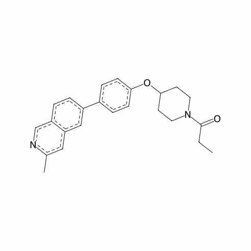 CCC(=O)N1CCC(Oc2ccc(-c3ccc4cnc(C)cc4c3)cc2)CC1